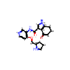 O=C(Nc1cnccc1OCC1CCCN1)c1c[nH]c2c1C(=O)CCC2